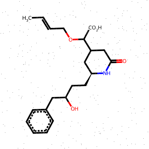 CC=CCOC(C(=O)O)C1CC(=O)N[C@@H](CCC(O)Cc2ccccc2)C1